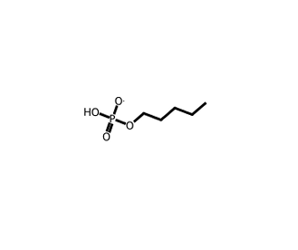 CCCCCOP([O])(=O)O